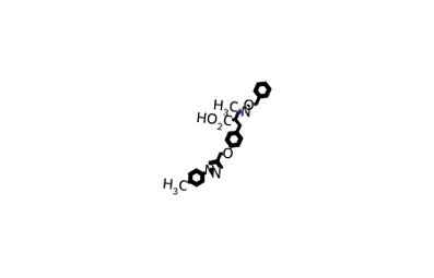 C/C(=N\OCc1ccccc1)C(Cc1ccc(OCc2cnn(-c3ccc(C)cc3)c2)cc1)C(=O)O